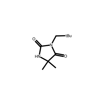 CC(C)(C)CN1C(=O)NC(C)(C)C1=O